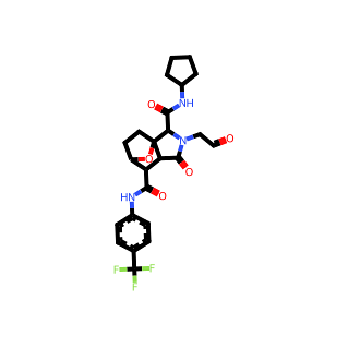 O=CCN1C(=O)C2C(C(=O)Nc3ccc(C(F)(F)F)cc3)C3CCC2(O3)C1C(=O)NC1CCCC1